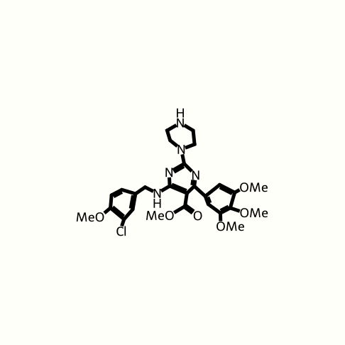 COC(=O)c1c(NCc2ccc(OC)c(Cl)c2)nc(N2CCNCC2)nc1-c1cc(OC)c(OC)c(OC)c1